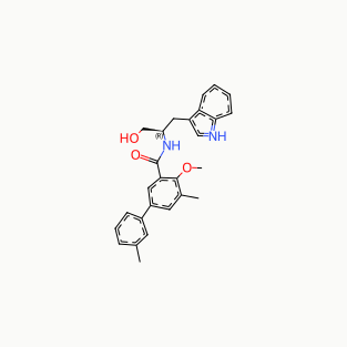 COc1c(C)cc(-c2cccc(C)c2)cc1C(=O)N[C@@H](CO)Cc1c[nH]c2ccccc12